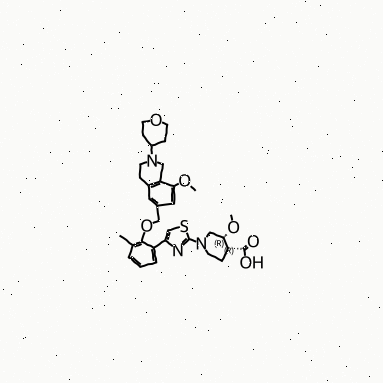 COc1cc(COc2c(C)cccc2-c2csc(N3CC[C@@H](C(=O)O)[C@@H](OC)C3)n2)cc2c1CN(C1CCOCC1)CC2